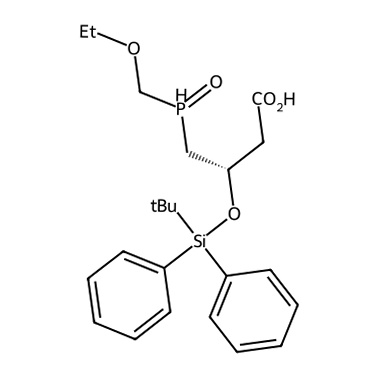 CCOC[PH](=O)C[C@H](CC(=O)O)O[Si](c1ccccc1)(c1ccccc1)C(C)(C)C